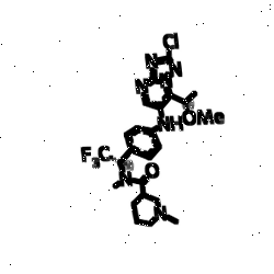 CO[C@@H](C)c1c(Nc2ccc([C@H](N(C)C(=O)C3CCCN(C)C3)C(F)(F)F)cc2)cnc2nc(Cl)nn12